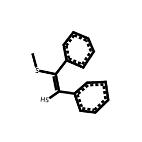 CS/C(=C(\S)c1ccccc1)c1ccccc1